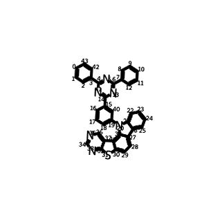 c1ccc(-c2nc(-c3ccccc3)nc(-c3cccc(-n4c5ccccc5c5ccc6sc7ncncc7c6c54)c3)n2)cc1